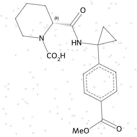 COC(=O)c1ccc(C2(NC(=O)[C@H]3CCCCN3C(=O)O)CC2)cc1